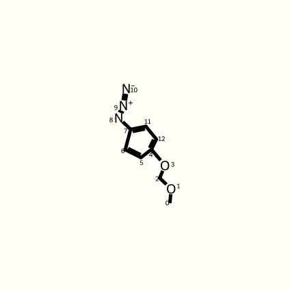 COCOc1ccc(N=[N+]=[N-])cc1